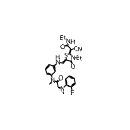 CCNC(=O)C(C#N)=c1sc(=CNc2cccc(N(C)C(=O)CN(C)c3ccccc3F)c2)c(=O)n1CC